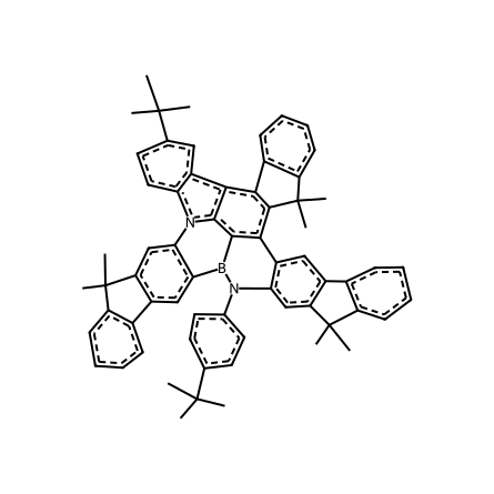 CC(C)(C)c1ccc(N2B3c4cc5c(cc4-n4c6ccc(C(C)(C)C)cc6c6c7c(c(c3c64)-c3cc4c(cc32)C(C)(C)c2ccccc2-4)C(C)(C)c2ccccc2-7)C(C)(C)c2ccccc2-5)cc1